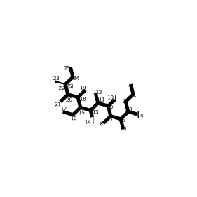 CCCC(I)C(C)C(C)C(I)C(C)C(I)C(CC)C(C)C(C)[C@@H](C)CC